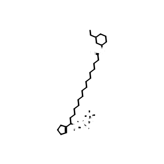 CCC1CCCC(OC(=O)CCCCCCCCCCCCCCC(C2=CCCC2)[Si](C)(C)O[Si](C)(C)O[Si](C)(C)C)C1